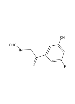 N#Cc1cc(F)cc(C(=O)CNC=O)c1